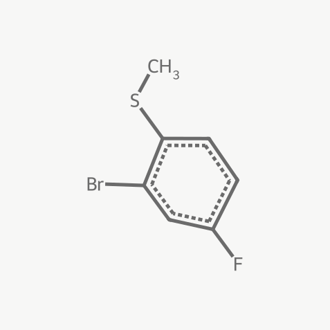 CSc1ccc(F)cc1Br